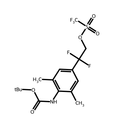 Cc1cc(C(F)(F)COS(=O)(=O)C(F)(F)F)cc(C)c1NC(=O)OC(C)(C)C